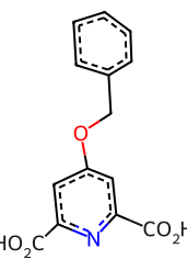 O=C(O)c1cc(OCc2ccccc2)cc(C(=O)O)n1